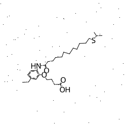 CCc1ccc(NC(=O)CCCCCCCCCCCSC(C)C)c(OCCCC(=O)O)c1